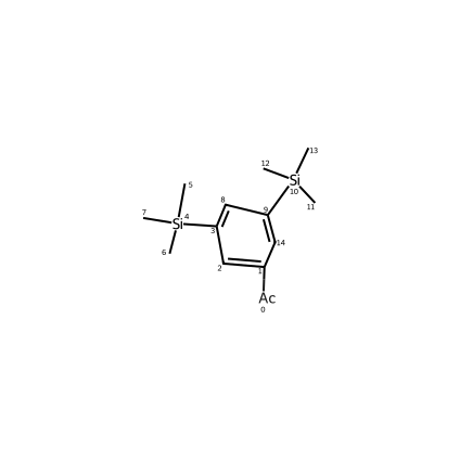 CC(=O)c1cc([Si](C)(C)C)cc([Si](C)(C)C)c1